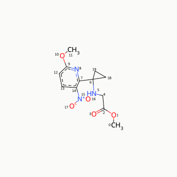 COC(=O)CNC1(c2nc(OC)ccc2[N+](=O)[O-])CC1